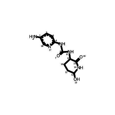 Nc1ccc(NC(=O)NC2CCC(O)NC2=O)nc1